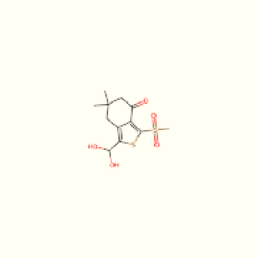 CC1(C)CC(=O)c2c(S(C)(=O)=O)sc(C(O)O)c2C1